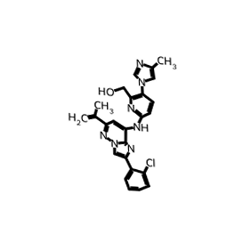 C=C(C)c1cc(Nc2ccc(-n3cnc(C)c3)c(CO)n2)c2nc(-c3ccccc3Cl)cn2n1